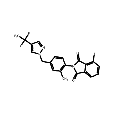 Cc1cc(Cn2cc(C(F)(F)C(F)(F)F)cn2)ccc1N1C(=O)c2cccc(I)c2C1=O